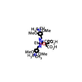 CCc1n(N=Cc2cc(OC)c(N(C)C)c(OC)c2)cc[n+]1N=Cc1cc(OC)c(N(C)C)c(OC)c1.O=C(O)CC(O)(CC(=O)O)C(=O)[O-]